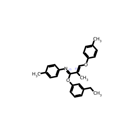 CCc1cccc(OC(=N\c2ccc(C)cc2)/C(C)=C/Oc2ccc(C)cc2)c1